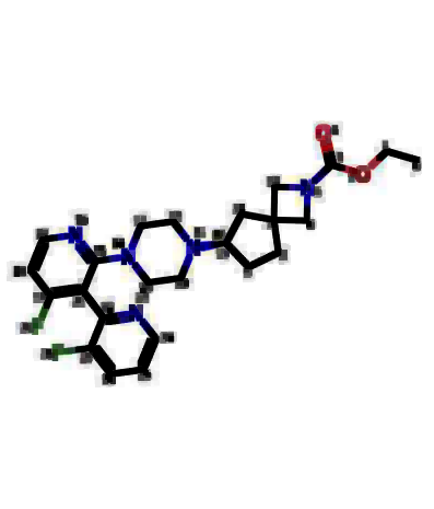 CCOC(=O)N1CC2(CC[C@@H](N3CCN(c4nccc(F)c4-c4ncccc4F)CC3)C2)C1